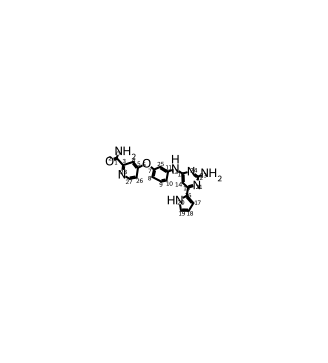 NC(=O)c1cc(Oc2cccc(Nc3cc(-c4ccc[nH]4)nc(N)n3)c2)ccn1